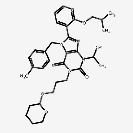 Cc1ccc(Cn2c(-c3cccnc3OCC(C)C)nc3c2c(=O)n(CCCOC2CCCCO2)c(=O)n3C(C)C)cc1